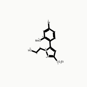 CCOC(=O)c1cc(-c2ccc(Br)cc2OC)n(CCO)n1